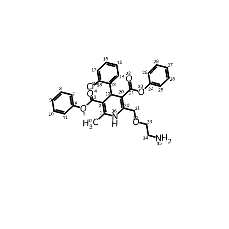 CC1=C(C(=O)Oc2ccccc2)C(c2ccccc2Cl)C(C(=O)Oc2ccccc2)=C(COCCN)N1